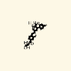 Cc1ccc2c(c1)nc(N)c1ncc(CCc3ccc(C(=O)NCCO)cc3C)cc12